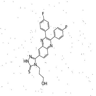 OCCCn1c(-c2ccc3nc(-c4ccc(F)cc4)c(-c4ccc(F)cc4)nc3c2)n[nH]c1=S